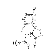 NC(=O)CN1C(=O)CCC1c1cc(F)ccc1F